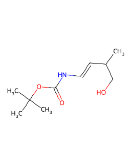 CC(C=CNC(=O)OC(C)(C)C)CO